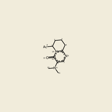 CC(=O)C1CCCc2ncc(N(C)C)c(=O)n21